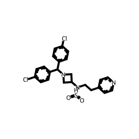 O=[SH](=O)N(CCc1ccncc1)C1CN(C(c2ccc(Cl)cc2)c2ccc(Cl)cc2)C1